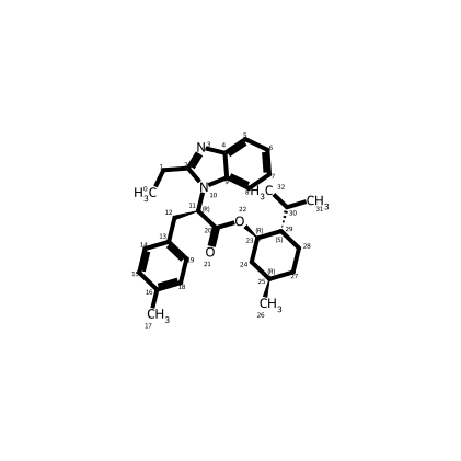 CCc1nc2ccccc2n1[C@H](Cc1ccc(C)cc1)C(=O)O[C@@H]1C[C@H](C)CC[C@H]1C(C)C